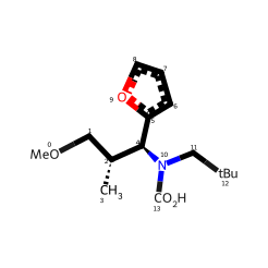 COC[C@@H](C)[C@@H](c1ccco1)N(CC(C)(C)C)C(=O)O